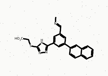 C/N=C/c1cc(-c2ccc3ccccc3c2)cc(-c2nnc(SCC(=O)O)[nH]2)c1